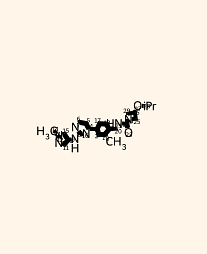 Cc1cc(-c2ccnc(Nc3cnn(C)c3)n2)ccc1CNC(=O)N1CC(OC(C)C)C1